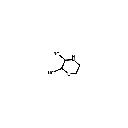 N#CC1NCCOC1C#N